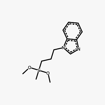 CO[Si](C)(CCCn1cnc2ccccc21)OC